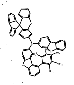 Bc1c(B)c(B)c(-c2cccc3oc4ccc(N(c5ccc6c(c5)Sc5ccccc5C65c6ccccc6-c6ccccc65)c5ccc6c(c5)sc5ccccc56)cc4c23)c(B)c1B